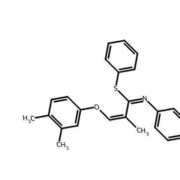 CC(=COc1ccc(C)c(C)c1)/C(=N\c1ccccc1)Sc1ccccc1